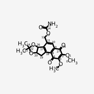 COC1=C(OC)C(=O)c2c(cc(COC(N)=O)c3c2CC2OC(C)(C)OC32)C1=O